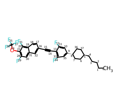 CCCCC[C@H]1CC[C@H](c2cc(F)c(C#Cc3ccc4c(F)c(OC(F)(F)F)c(F)cc4c3)c(F)c2)CC1